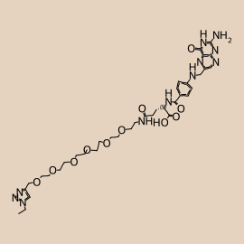 CCn1cc(COCCOCCOCCOCCOCCOCCNC(=O)CC[C@H](NC(=O)c2ccc(NCc3cnc4nc(N)[nH]c(=O)c4n3)cc2)C(=O)O)nn1